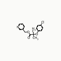 CC(C)(Oc1ccc(Cl)cc1)C(=O)OCc1cccnc1